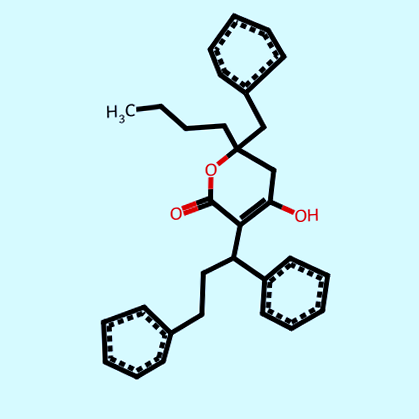 CCCCC1(Cc2ccccc2)CC(O)=C(C(CCc2ccccc2)c2ccccc2)C(=O)O1